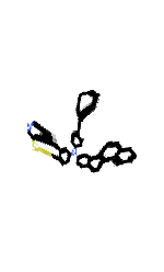 c1ccc(-c2ccc(N(c3ccc4ccc5c6ccccc6ccc5c4c3)c3ccc4sc5cnccc5c4c3)cc2)cc1